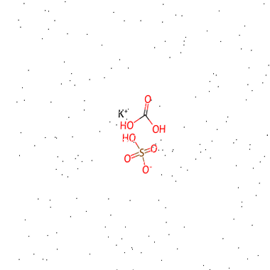 O=C(O)O.O=S(=O)([O-])O.[K+]